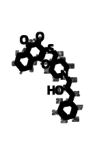 O=C1C(=O)c2ccccc2C2=C1SCC1(CCN(C[C@@H](O)Cc3ccccc3)CC1)O2